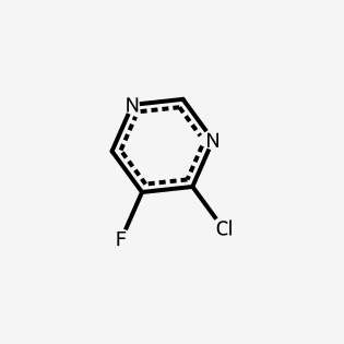 Fc1cncnc1Cl